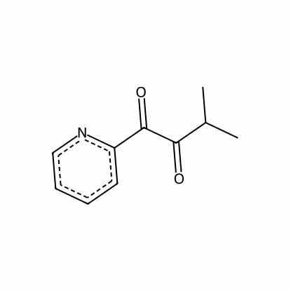 CC(C)C(=O)C(=O)c1ccccn1